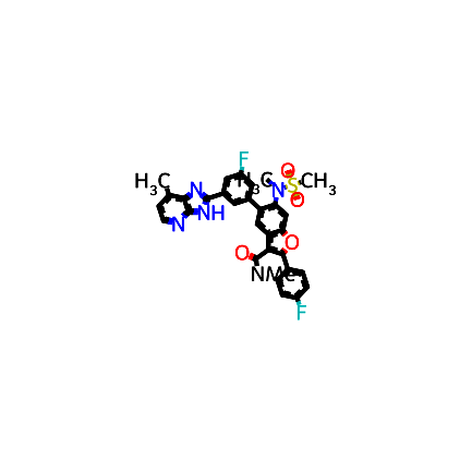 CNC(=O)c1c(-c2ccc(F)cc2)oc2cc(N(C)S(C)(=O)=O)c(-c3cc(F)cc(-c4nc5c(C)ccnc5[nH]4)c3)cc12